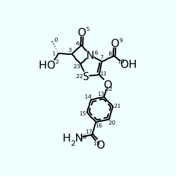 C[C@@H](O)C1C(=O)N2C(C(=O)O)=C(Oc3ccc(C(N)=O)cc3)SC12